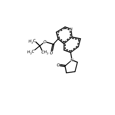 CC(C)(C)OC(=O)c1ccnc2ccc(N3CCCC3=O)cc12